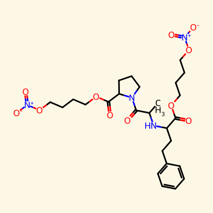 CC(NC(CCc1ccccc1)C(=O)OCCCCO[N+](=O)[O-])C(=O)N1CCCC1C(=O)OCCCCO[N+](=O)[O-]